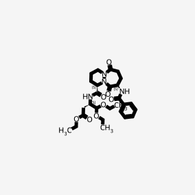 CCOC(=O)C[C@H](NC(=O)[C@@H]1CCCN2C(=O)CC[C@H](NC(=O)c3ccccc3)C(=O)N12)C(OCC)OCC